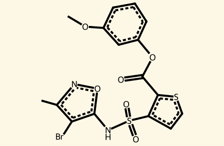 COc1cccc(OC(=O)c2sccc2S(=O)(=O)Nc2onc(C)c2Br)c1